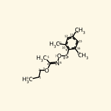 CCCO/C(C)=N/OSc1c(C)cc(C)cc1C